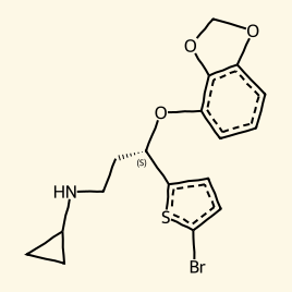 Brc1ccc([C@H](CCNC2CC2)Oc2cccc3c2OCO3)s1